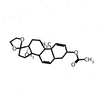 CC(=O)OC1C=C[C@@]2(C)C(C=CC3C2CC[C@@]2(C)C3CCC23OCCO3)C1